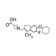 CC1=C(CN2CC(C(=O)O)C2)CCc2cc(OC3CCCCC3)c(F)cc21